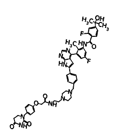 Cc1c(NC(=O)c2ccc(C(C)(C)O)cc2F)cc(F)cc1-c1ncnc2[nH]c(-c3ccc(CN4CCN(CCNC(=O)COc5ccc(N6CCC(=O)NC6=O)cc5)CC4)cc3)cc12